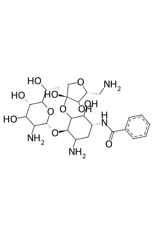 C[C@@H](O)C1O[C@H](O[C@@H]2C(N)C[C@@H](NC(=O)c3ccccc3)C(O)C2O[C@]2(O)CO[C@H](CN)C2O)C(N)C(O)[C@@H]1O